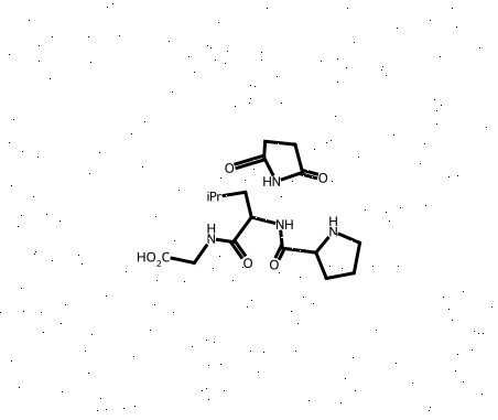 CC(C)CC(NC(=O)C1CCCN1)C(=O)NCC(=O)O.O=C1CCC(=O)N1